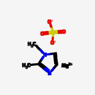 Cc1nccn1C.O=S(=O)([O-])[O-].[Mg+2]